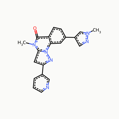 Cn1cc(-c2ccc3c(=O)n(C)c4cc(-c5cccnc5)nn4c3c2)cn1